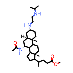 COC(=O)CC[C@@H](C)C1CCC2C3C(CC[C@@]21C)[C@@]1(C)CC[C@@H](NCCNC(C)C)C[C@@H]1C[C@H]3NC(C)=O